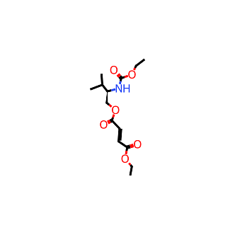 CCOC(=O)/C=C/C(=O)OC[C@H](NC(=O)OCC)C(C)C